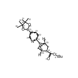 CC(C)(C)OC(=O)N1C[C@@H]2C[C@H]1CN2c1ccc(B2OC(C)(C)C(C)(C)O2)cn1